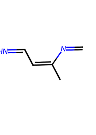 C=N/C(C)=C\C=N